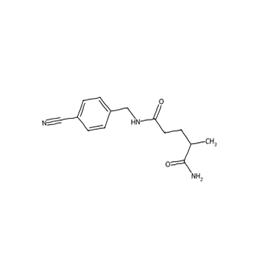 CC(CCC(=O)NCc1ccc(C#N)cc1)C(N)=O